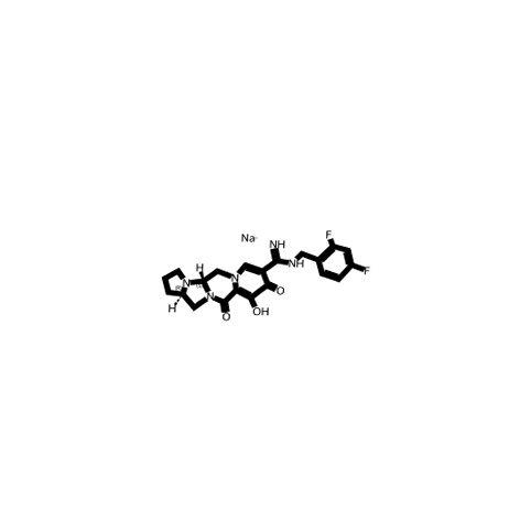 N=C(NCc1ccc(F)cc1F)c1cn2c(c(O)c1=O)C(=O)N1C[C@H]3CCCN3[C@@H]1C2.[Na]